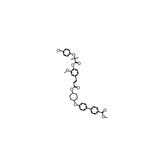 COC(=O)c1ccc(-c2ccc(OC3CCC(OC(=O)C=Cc4ccc(OC(=O)C(C)(C)Oc5ccc(Cl)cc5)c(OC)c4)CC3)cc2)cc1